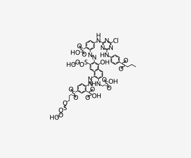 CCCS(=O)(=O)c1ccc(Nc2nc(Cl)nc(Nc3ccc(S(=O)(=O)O)c(/N=N/c4c(SOOO)cc5c(/N=N/c6ccc(S(=O)(=O)CCOSOOO)cc6S(=O)(=O)O)c(NCS(=O)(=O)O)ccc5c4O)c3)n2)cc1